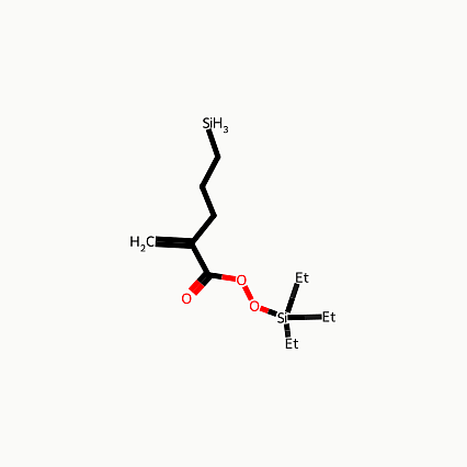 C=C(CCC[SiH3])C(=O)OO[Si](CC)(CC)CC